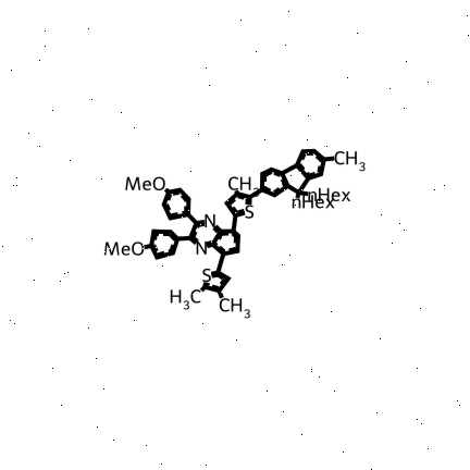 CCCCCCC1(CCCCCC)c2cc(C)ccc2-c2ccc(-c3sc(-c4ccc(-c5cc(C)c(C)s5)c5nc(-c6ccc(OC)cc6)c(-c6ccc(OC)cc6)nc45)cc3C)cc21